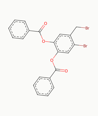 O=C(Oc1cc(Br)c(CBr)cc1OC(=O)c1ccccc1)c1ccccc1